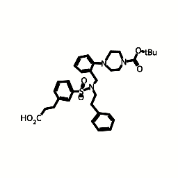 CC(C)(C)OC(=O)N1CCN(c2ccccc2CN(CCc2ccccc2)S(=O)(=O)c2cccc(CCC(=O)O)c2)CC1